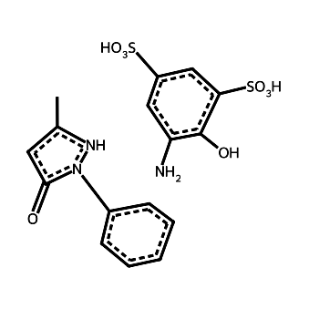 Cc1cc(=O)n(-c2ccccc2)[nH]1.Nc1cc(S(=O)(=O)O)cc(S(=O)(=O)O)c1O